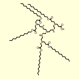 CCCCCCCCCCCCOC(=O)CCN(CCC(=O)OC)CCN(C)CCN(CCN(C)CCN(CCC(=O)OCCCCCCCCCCCC)CCC(=O)OCCCCCCCCCCCC)CCN(C)CCN(CCC(=O)OCCCCCCCCCCCC)CCC(=O)OCCCCCCCCCCCC